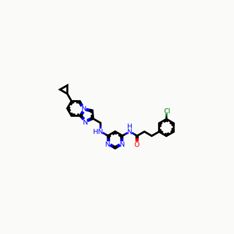 O=C(CCc1cccc(Cl)c1)Nc1cc(NCc2cn3cc(C4CC4)ccc3n2)ncn1